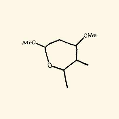 COC1CC(OC)C(C)C(C)O1